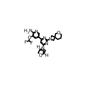 Nc1ncc(-c2cc(N3C[C@@H]4C[C@H]3CO4)nc(N3CC4(CCCOC4)C3)n2)cc1OC(F)F